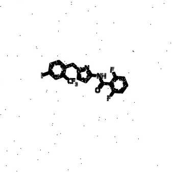 O=C(Nc1ccn(Cc2ccc(I)cc2C(F)(F)F)n1)c1c(F)cccc1F